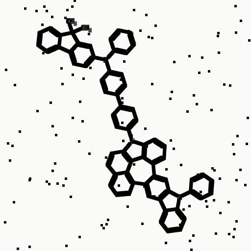 CC1(C)c2ccccc2-c2ccc(N(c3ccccc3)c3ccc(-c4ccc(-n5c6cccc7c6c6c8c(cccc8ccc65)-c5cc6c8ccccc8n(-c8ccccc8)c6cc5-7)cc4)cc3)cc21